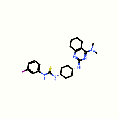 CN(C)c1nc(N[C@H]2CC[C@@H](NC(=S)Nc3cccc(I)c3)CC2)nc2c1CCCC2